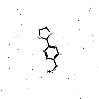 OCc1ccc(C2OCCS2)cc1